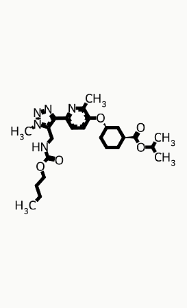 CCCCOC(=O)NCc1c(-c2ccc(O[C@H]3CCC[C@H](C(=O)OC(C)C)C3)c(C)n2)nnn1C